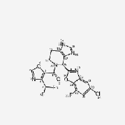 O=C(c1ocnc1C(F)F)N1CCc2[nH]cnc2[C@H]1c1nc2cc(Cl)cc(F)c2o1